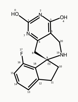 Oc1nc(O)c2c(n1)C[C@]1(CCc3cccc(F)c31)NC2